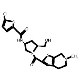 CN1CCc2cc(C(=O)N3C[C@H](NC(=O)c4ccc(Cl)s4)C[C@H]3CO)sc2C1